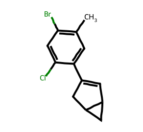 Cc1cc(C2=CC3CC3C2)c(Cl)cc1Br